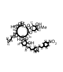 CC[C@H]1OC(=O)[C@H](C)[C@@H](OC2C[C@@](C)(OC)[C@@H](O)[C@H](C)O2)[C@H](C)[C@@H](OC2O[C@H](C)C[C@H](N(C)CCc3cn(CCc4ccc([N+](=O)[O-])cc4)nn3)[C@@H]2O)[C@](C)(O)C[C@@H](C)/C(=N\OCCN(C)C)[C@H](C)[C@@H](O)[C@]1(C)O